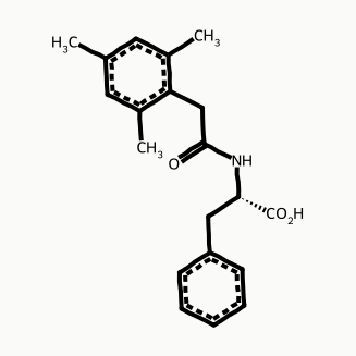 Cc1cc(C)c(CC(=O)N[C@@H](Cc2ccccc2)C(=O)O)c(C)c1